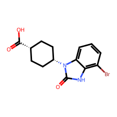 O=c1[nH]c2c(Br)cccc2n1[C@H]1CC[C@@H](C(=O)O)CC1